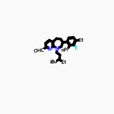 CCCc1c(C2CCc3ccc(C=O)nc3N(CCC(CC)C(C)CC)C2)ccc(CC)c1F